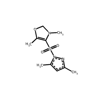 CC1=C(S(=O)(=O)n2nc(C)cc2C)N(C)CO1